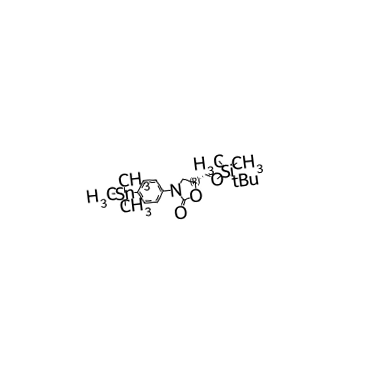 CC(C)(C)[Si](C)(C)OC[C@H]1CN(c2cc[c]([Sn]([CH3])([CH3])[CH3])cc2)C(=O)O1